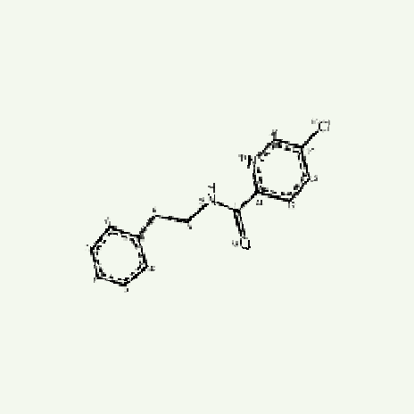 O=C(NCCc1ccccc1)c1ccc(Cl)cn1